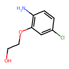 Nc1ccc(Cl)cc1OCCO